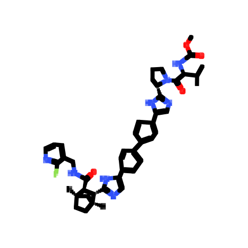 COC(=O)N[C@H](C(=O)N1CCC[C@H]1c1ncc(-c2ccc(-c3ccc(-c4cnc([C@@H]5[C@H]6CC[C@H](C6)[C@H]5C(=O)NCc5cccnc5F)[nH]4)cc3)cc2)[nH]1)C(C)C